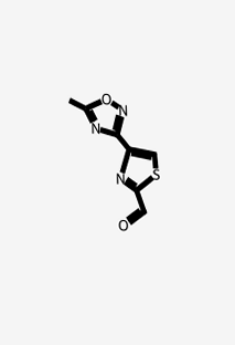 Cc1nc(-c2csc(C=O)n2)no1